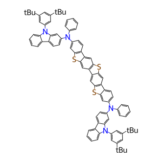 CC(C)(C)c1cc(-n2c3ccccc3c3ccc(N(c4ccccc4)c4ccc5c(c4)sc4cc6c(cc45)sc4cc5c(cc46)sc4cc(N(c6ccccc6)c6ccc7c8ccccc8n(-c8cc(C(C)(C)C)cc(C(C)(C)C)c8)c7c6)ccc45)cc32)cc(C(C)(C)C)c1